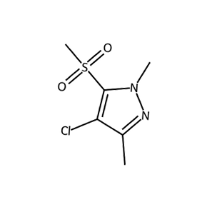 Cc1nn(C)c(S(C)(=O)=O)c1Cl